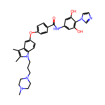 Cc1c(C)n(CCCN2CCN(C)CC2)c2ccc(Oc3ccc(C(=O)Nc4cc(O)c(-n5ccnc5)c(O)c4)cc3)cc12